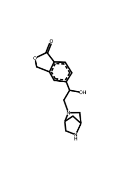 O=C1OCc2cc(C(O)CN3CC4CC3CN4)ccc21